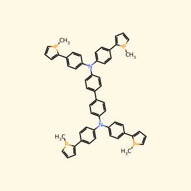 Cp1cccc1-c1ccc(N(c2ccc(-c3ccc(N(c4ccc(-c5cccp5C)cc4)c4ccc(-c5cccp5C)cc4)cc3)cc2)c2ccc(-c3cccp3C)cc2)cc1